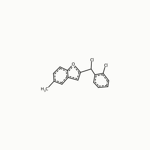 Cc1ccc2oc(C(Cl)c3ccccc3Cl)cc2c1